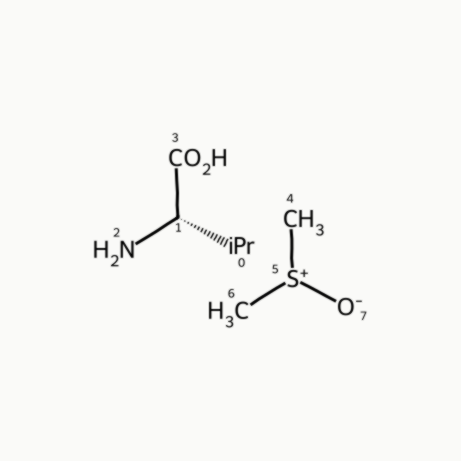 CC(C)[C@H](N)C(=O)O.C[S+](C)[O-]